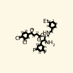 CCc1cccc(CNC[C@@H](OC(=O)CCC(=O)c2ccc(Cl)c(Cl)c2)[C@@H](N)Cc2cc(F)cc(F)c2)c1